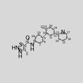 CC1=C(C(=O)Nc2ccc(-c3cc(-c4ccccn4)ccc3C)cc2)SNN1